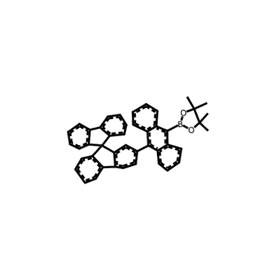 CC1(C)OB(c2c3ccccc3c(-c3ccc4c(c3)C3(c5ccccc5-c5ccccc53)c3ccccc3-4)c3ccccc23)OC1(C)C